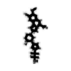 COc1cc2nc(N)n3nc([C@H]4CC[C@@H](C)N(c5cnn(C(C)(C)C(C)(C)O)c5)C4)nc3c2cc1F